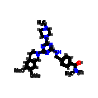 CCN(C)C(=O)c1ccc(CNc2nc(N3CCN(C)CC3)nc(N3CCc4cc(OC)c(OC)cc4C3)n2)cc1